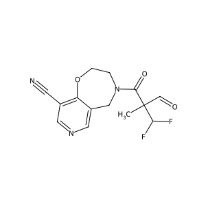 CC(C=O)(C(=O)N1CCOc2c(C#N)cncc2C1)C(F)F